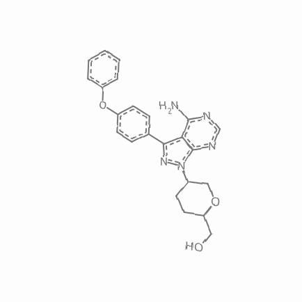 Nc1ncnc2c1c(-c1ccc(Oc3ccccc3)cc1)nn2C1CCC(CO)OC1